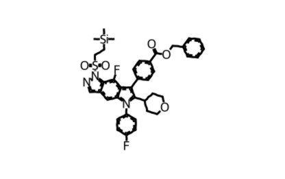 C[Si](C)(C)CCS(=O)(=O)n1ncc2cc3c(c(-c4ccc(C(=O)OCc5ccccc5)cc4)c(C4CCOCC4)n3-c3ccc(F)cc3)c(F)c21